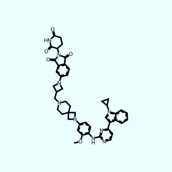 COc1cc(N2CC3(CCN(CC4CN(c5ccc6c(c5)C(=O)N(C5CCC(=O)NC5=O)C6=O)C4)CC3)C2)ccc1Nc1nccc(-c2cn(C3CC3)c3ccccc23)n1